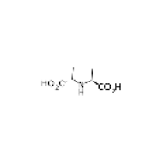 C[C@H](N[C@@H](C)C(=O)O)C(=O)O